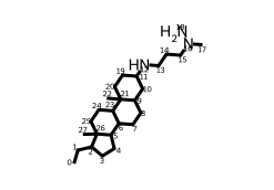 CCC1CCC2C3CCC4CC(NCCCN(C)N)CCC4(C)C3CCC12C